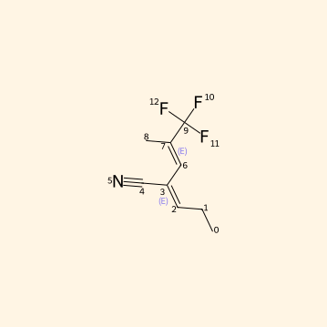 CC/C=C(C#N)\C=C(/C)C(F)(F)F